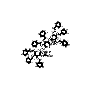 CO[C@@]1(OC[C@H]2O[C@@H](O)[C@H](O[C@@]3(O)O[C@H](COCc4ccccc4)[C@@H](OCc4ccccc4)[C@H](OCc4ccccc4)[C@@H]3OC(C)=O)[C@@H](OCc3ccccc3)[C@@H]2OCc2ccccc2)O[C@H](COCc2ccccc2)[C@@H](OCc2ccccc2)[C@H](OCc2ccccc2)[C@H]1OC(=O)C(C)(C)C